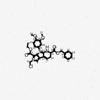 CCOC(=O)c1c2c(cn1CCl)C1=CCC(C(=O)OCc3ccccc3)NC1=S2c1ccc(OC)c(OC)c1